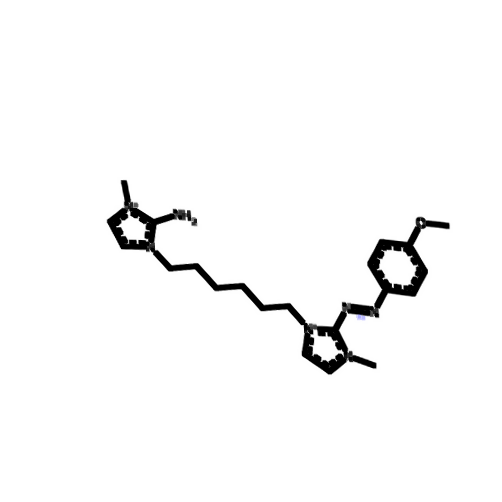 COc1ccc(/N=N/c2n(C)cc[n+]2CCCCCCn2cc[n+](C)c2N)cc1